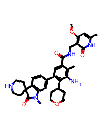 COc1cc(C)[nH]c(=O)c1CNC(=O)c1cc(-c2ccc3c(c2)N(C)C(=O)C32CCNCC2)c(C2CCOCC2)c(N)c1C